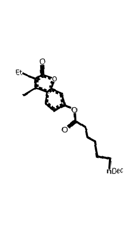 CCCCCCCCCCCCCCCC(=O)Oc1ccc2c(C)c(CC)c(=O)oc2c1